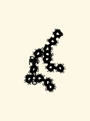 c1ccc(-c2ccc(-c3ccc4c(c3)Sc3cc(-c5cccc(-c6ccccc6)c5)ccc3N4c3cccc(-c4nc(-c5ccc(N6c7ccccc7Oc7cc(-c8ccc9ccccc9c8)ccc76)cc5)ns4)c3)cc2)cc1